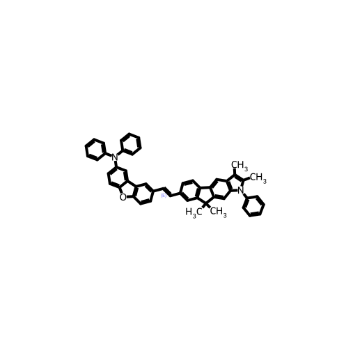 Cc1c(C)n(-c2ccccc2)c2cc3c(cc12)-c1ccc(/C=C/c2ccc4oc5ccc(N(c6ccccc6)c6ccccc6)cc5c4c2)cc1C3(C)C